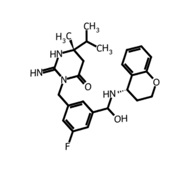 CC(C)[C@]1(C)CC(=O)N(Cc2cc(F)cc(C(O)N[C@H]3CCOc4ccccc43)c2)C(=N)N1